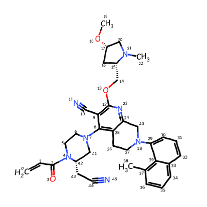 C=CC(=O)N1CCN(c2c(C#N)c(OC[C@@H]3C[C@H](OC)CN3C)nc3c2CCN(c2cccc4cccc(C)c24)C3)C[C@@H]1CC#N